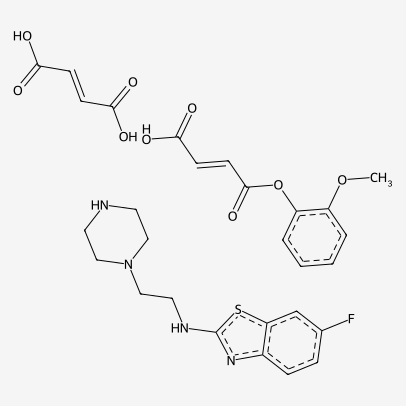 COc1ccccc1OC(=O)/C=C/C(=O)O.Fc1ccc2nc(NCCN3CCNCC3)sc2c1.O=C(O)/C=C/C(=O)O